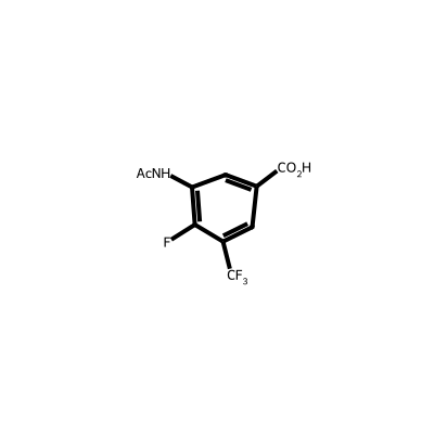 CC(=O)Nc1cc(C(=O)O)cc(C(F)(F)F)c1F